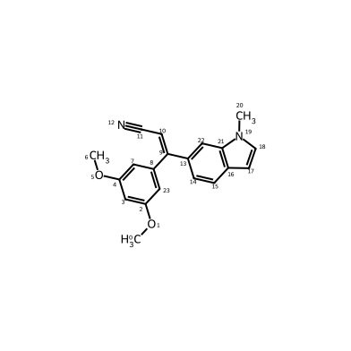 COc1cc(OC)cc(C(=CC#N)c2ccc3ccn(C)c3c2)c1